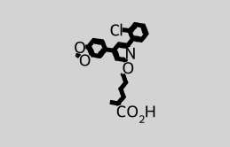 CC(CCCCOc1cc(-c2ccc3c(c2)OCO3)cc(-c2ccccc2Cl)n1)C(=O)O